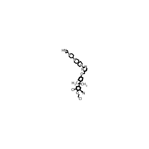 CC(C)(c1ccc(OCc2ccnc(N3CCC4(CC3)CCN(C3CCN(C5CNC5)CC3)CC4)n2)cc1)c1cc(Cl)c(OCCCl)c(C#N)c1